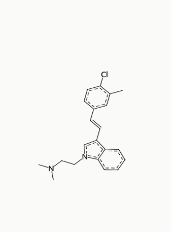 Cc1cc(/C=C/c2cn(CCN(C)C)c3ccccc23)ccc1Cl